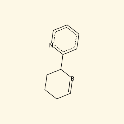 B1=CCCCC1c1ccccn1